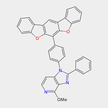 COc1nccc2c1nc(-c1ccccc1)n2-c1ccc(-c2c3oc4ccccc4c3cc3c2oc2ccccc23)cc1